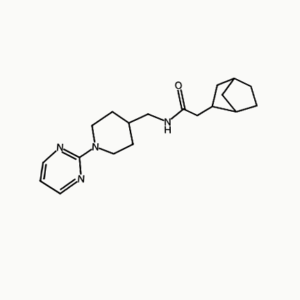 O=C(CC1CC2CCC1C2)NCC1CCN(c2ncccn2)CC1